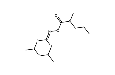 CCCN(C)C(=O)ON=C1SC(C)SC(C)S1